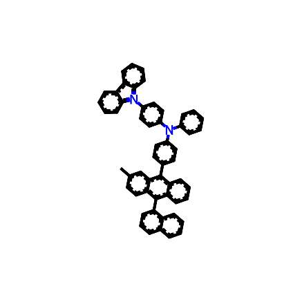 Cc1ccc2c(-c3cccc4ccccc34)c3ccccc3c(-c3ccc(N(c4ccccc4)c4ccc(-n5c6ccccc6c6ccccc65)cc4)cc3)c2c1